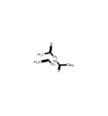 C=CC.CC(C)=O.O=C(O)O